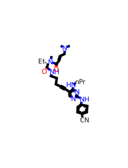 CCCNc1nc(Nc2ccc(C#N)cc2)ncc1C#CCCCNC(=O)[C@H](CC)N(C)C(=O)/C=C/CN(C)C